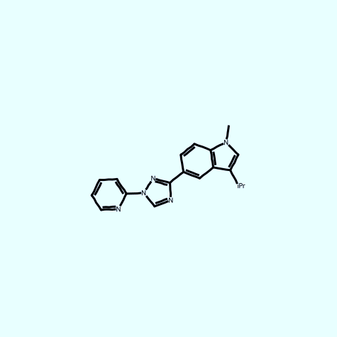 CC(C)c1cn(C)c2ccc(-c3ncn(-c4ccccn4)n3)cc12